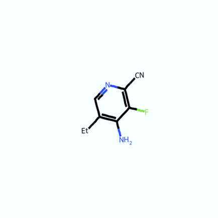 CCc1cnc(C#N)c(F)c1N